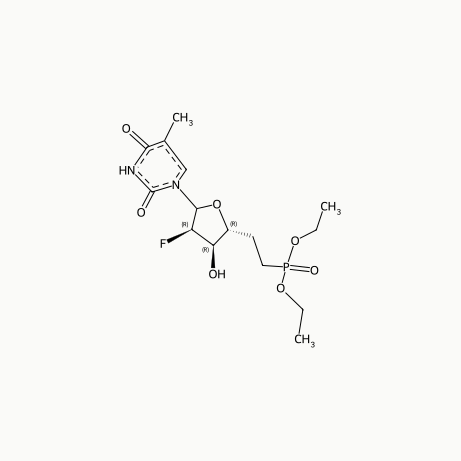 CCOP(=O)(CC[C@H]1OC(n2cc(C)c(=O)[nH]c2=O)[C@H](F)[C@@H]1O)OCC